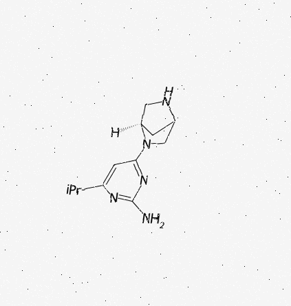 CC(C)c1cc(N2CC3C[C@@H]2CN3)nc(N)n1